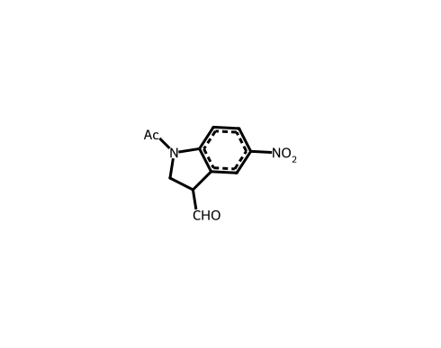 CC(=O)N1CC(C=O)c2cc([N+](=O)[O-])ccc21